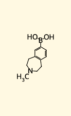 CN1CCc2ccc(B(O)O)cc2CC1